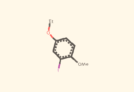 CCOc1ccc(OC)c(I)c1